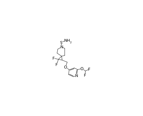 NSN1CCC2(CC1)C(COc1ccnc(OC(F)F)c1)C2(F)F